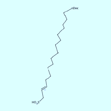 CCCCCCCCCCCCCCCCCCCCCCC/C=C/CS(=O)(=O)O